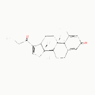 CC(=O)OCC(=O)C1=CC[C@H]2[C@@H]3CCC4=CC(=O)C=C(OC(C)=O)[C@]4(C)[C@H]3CC[C@]12C